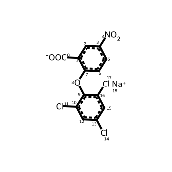 O=C([O-])c1cc([N+](=O)[O-])ccc1Oc1c(Cl)cc(Cl)cc1Cl.[Na+]